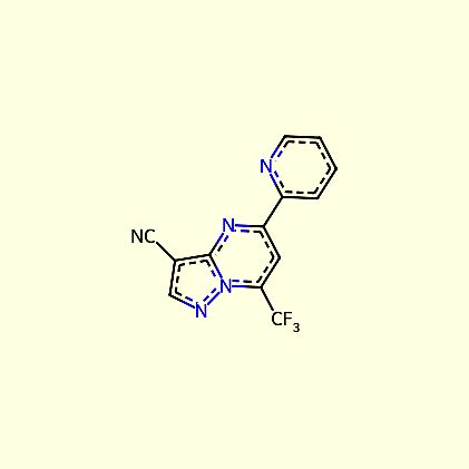 N#Cc1cnn2c(C(F)(F)F)cc(-c3ccccn3)nc12